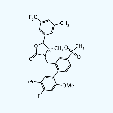 COc1cc(F)c(C(C)C)cc1-c1ccc(S(C)(=O)=O)cc1CN1C(=O)OC(c2cc(C)cc(C(F)(F)F)c2)[C@@H]1C